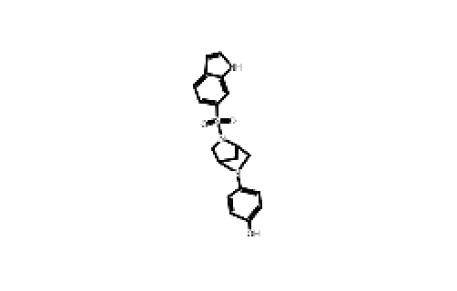 O=S(=O)(c1ccc2cc[nH]c2c1)N1CC2CC1CN2c1ccc(O)cc1